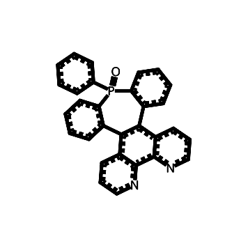 O=P1(c2ccccc2)c2ccccc2-c2c(c3cccnc3c3ncccc23)-c2ccccc21